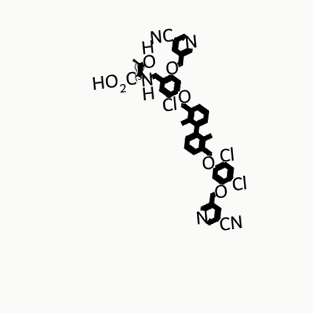 Cc1c(COc2cc(OCc3cncc(C#N)c3)c(Cl)cc2Cl)cccc1-c1cccc(COc2cc(OCc3cncc(C#N)c3)c(CN[C@H](C(=O)O)[C@@H](C)O)cc2Cl)c1C